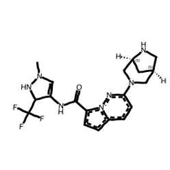 CN1C=C(NC(=O)c2ccc3ccc(N4C[C@@H]5CN[C@@H](C5)C4)nn23)C(C(F)(F)F)N1